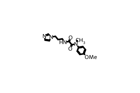 COc1ccc(N(C)C(=O)C(=O)NCCCn2ccnc2)cc1